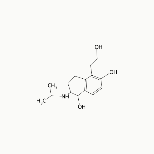 CC(C)NC1CCc2c(ccc(O)c2CCO)C1O